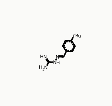 CCCCc1ccc(/C=N/NC(=N)N)cc1